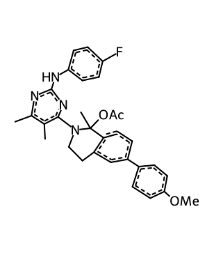 COc1ccc(-c2ccc3c(c2)CCN(c2nc(Nc4ccc(F)cc4)nc(C)c2C)C3(C)OC(C)=O)cc1